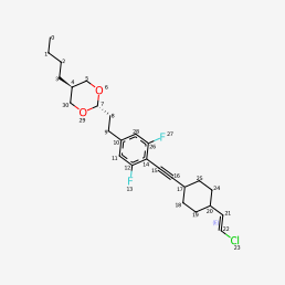 CCCC[C@H]1CO[C@H](CCc2cc(F)c(C#CC3CCC(/C=C/Cl)CC3)c(F)c2)OC1